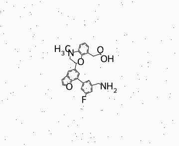 CN1CC(c2cc(-c3cc(F)cc(CN)c3)c3occc3c2)Oc2c(CC(=O)O)cccc21